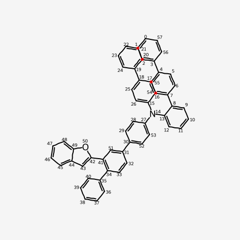 c1ccc(-c2ccc(-c3ccccc3N(c3ccc(-c4ccccc4)cc3)c3ccc(-c4ccc(-c5ccccc5)c(-c5cc6ccccc6o5)c4)cc3)cc2)cc1